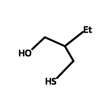 CCC(CO)CS